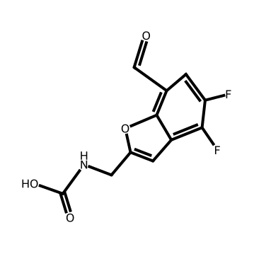 O=Cc1cc(F)c(F)c2cc(CNC(=O)O)oc12